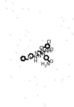 NC(=O)C1CCC(n2c(Nc3c(Cl)cc(Cl)cc3Cl)nc3cnc(N[C@@H]4CCCN(Cc5ccccc5)C4)nc32)CC1